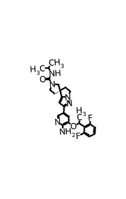 CC(C)NC(=O)N1CC[C@@]2(CCn3nc(-c4cnc(N)c(OC(C)c5c(F)cccc5F)c4)cc32)C1